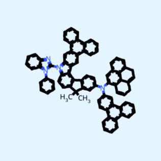 CC1(C)c2cc(N(c3ccc4c5ccccc5c5ccccc5c4c3)c3cc4cccc5c4c4c3C=CCC4=CC5)ccc2-c2c1ccc1c2c2cc3c4ccccc4c4ccccc4c3cc2n1-c1nc2ccccc2n1-c1ccccc1